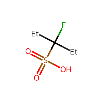 CCC(F)(CC)S(=O)(=O)O